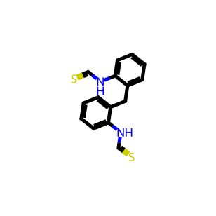 S=CNc1ccccc1Cc1ccccc1NC=S